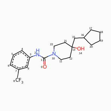 O=C(Nc1cccc(C(F)(F)F)c1)N1CCC(O)(CC2CCCC2)CC1